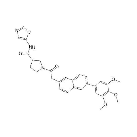 COc1cc(-c2ccc3cc(CC(=O)N4CCC(C(=O)Nc5cnco5)C4)ccc3c2)cc(OC)c1OC